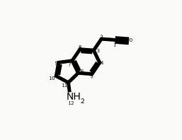 C#CCc1ccc2c(c1)C=CC2N